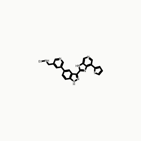 CCNCc1cncc(-c2ccc3[nH]nc(-c4nc5c(-c6cccs6)cncc5[nH]4)c3c2)c1